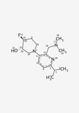 CC(C)c1ccc(N2CC[C@H](F)[C@@H](O)C2)c(CN(C)C)n1